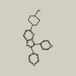 CC(C)N1CCN(c2ccc3nc(-c4ccncc4)c(-c4ccncc4)n3n2)CC1